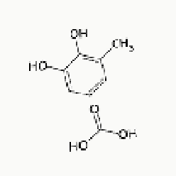 Cc1cccc(O)c1O.O=C(O)O